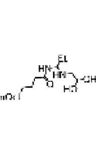 CCCCCCCCCCCC(=O)NC(CC)NCC(O)O